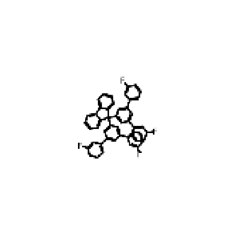 FC1=CC(c2cc(-c3cccc(F)c3)cc(C3(c4cc(C5=CC(F)CC=C5)cc(-c5cccc(F)c5)c4)c4ccccc4-c4ccccc43)c2)=CCC1